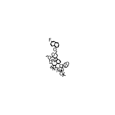 CCOC(=O)c1[nH]c2c(-c3c([C@@H](CCN4CCOCC4)N(C)C(=O)OC(C)(C)C)nn(C)c3CC)c(Cl)ccc2c1CCCOc1cccc2cc(F)ccc12